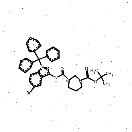 CC(C)(C)OC(=O)N1CCC[C@@H](C(=O)Nc2nn(C(c3ccccc3)(c3ccccc3)c3ccccc3)c3ccc(Br)cc23)C1